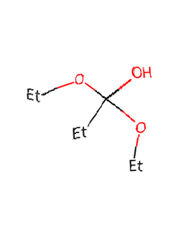 CCOC(O)(CC)OCC